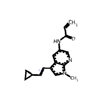 C=CC(=O)Nc1cnc2c(c1)c(/C=C/C1CC1)cn2C